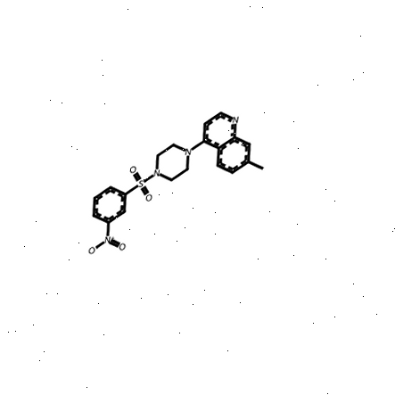 Cc1ccc2c(N3CCN(S(=O)(=O)c4cccc([N+](=O)[O-])c4)CC3)ccnc2c1